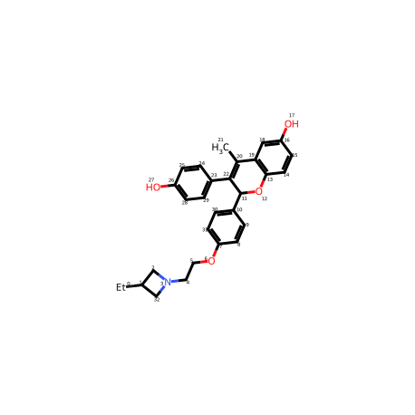 CCC1CN(CCOc2ccc(C3Oc4ccc(O)cc4C(C)=C3c3ccc(O)cc3)cc2)C1